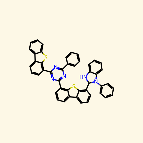 c1ccc(-c2nc(-c3cccc4c3sc3ccccc34)nc(-c3cccc4c3sc3c(C5Nc6ccccc6N5c5ccccc5)cccc34)n2)cc1